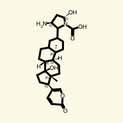 C[C@@]12CCC(C3[C@@H](N)C[C@H](O)N3C(=O)O)CC1CC[C@@H]1[C@@H]2CC[C@]2(C)[C@@H](c3ccc(=O)oc3)CC[C@]12O